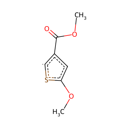 COC(=O)c1[c]sc(OC)c1